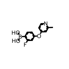 Cc1cc(Oc2ccc(B(O)O)c(F)c2)ccn1